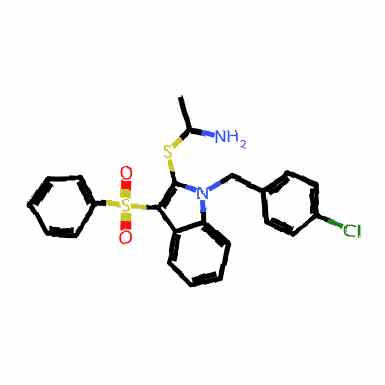 CC(N)Sc1c(S(=O)(=O)c2ccccc2)c2ccccc2n1Cc1ccc(Cl)cc1